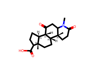 CN1C(=O)CC[C@@]2(C)C1CC(=O)[C@@H]1[C@H]2CC[C@]2(C)C(C(=O)O)CC[C@@H]12